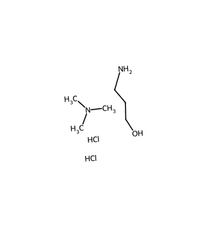 CN(C)C.Cl.Cl.NCCCO